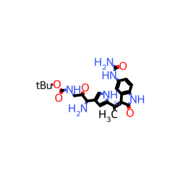 C/C(=C1\C(=O)Nc2ccc(NC(N)=O)cc21)c1cc(C(N)C(=O)CNC(=O)OC(C)(C)C)c[nH]1